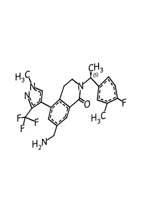 Cc1cc([C@H](C)N2CCc3c(cc(CN)cc3-c3cn(C)nc3C(F)(F)F)C2=O)ccc1F